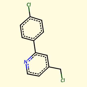 ClCc1ccnc(-c2ccc(Cl)cc2)c1